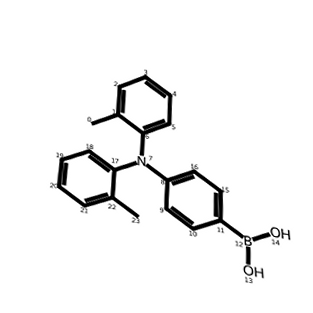 Cc1ccccc1N(c1ccc(B(O)O)cc1)c1ccccc1C